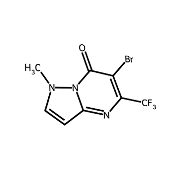 Cn1ccc2nc(C(F)(F)F)c(Br)c(=O)n21